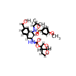 COc1ccc(S(=O)(=O)N(CC[C@H](Cc2ccc(C=O)cc2)NC(=O)OC2CO[C@H]3OCC[C@@H]23)CC(C)C)cc1